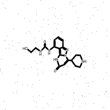 O=C(NCCO)Nc1cccc2nn3c(C4CCNCC4)cc(=O)[nH]c3c12